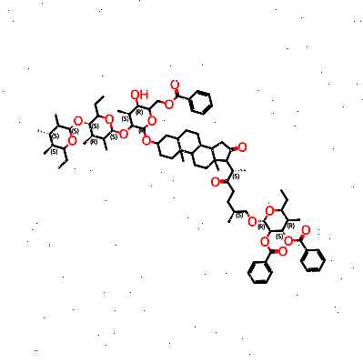 CCC1O[C@@H](O[C@@H]2C(CC)O[C@@H](OC3[C@H](OC4CCC5(C)C(CCC6C5CCC5(C)C6CC(=O)C5[C@H](C)C(=O)CC[C@H](C)CO[C@@H]5OC(CC)[C@@H](C)[C@H](OC(=O)c6ccccc6)C5OC(=O)c5ccccc5)C4)OC(COC(=O)c4ccccc4)[C@H](O)[C@@H]3C)C(C)[C@H]2C)C(C)[C@@H](C)[C@@H]1C